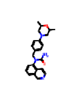 CC1CN(c2ccc(CN(C(N)=O)c3cccc4cnccc34)cc2)CC(C)O1